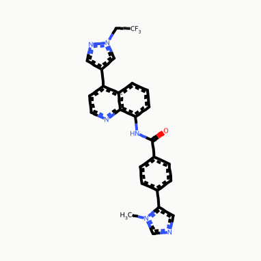 Cn1cncc1-c1ccc(C(=O)Nc2cccc3c(-c4cnn(CC(F)(F)F)c4)ccnc23)cc1